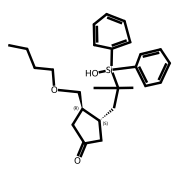 CCCCOC[C@@H]1CC(=O)C[C@H]1CC(C)(C)[Si](O)(c1ccccc1)c1ccccc1